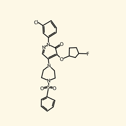 O=c1c(OC2CCC(F)C2)c(N2CCN(S(=O)(=O)c3ccccc3)CC2)cnn1-c1cccc(Cl)c1